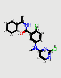 CC(NC(=O)c1cc(N(C)c2ccnc(Cl)n2)ccc1Cl)C1CCCCC1